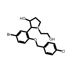 OCCN1CCC(O)C1c1cc(Br)ccc1OCc1ccc(Cl)cc1